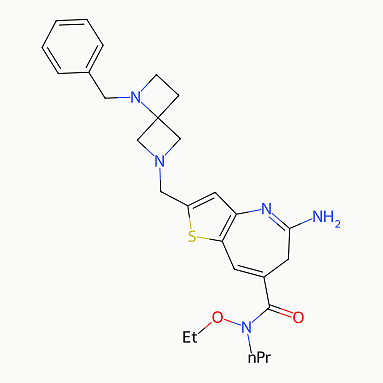 CCCN(OCC)C(=O)C1=Cc2sc(CN3CC4(CCN4Cc4ccccc4)C3)cc2N=C(N)C1